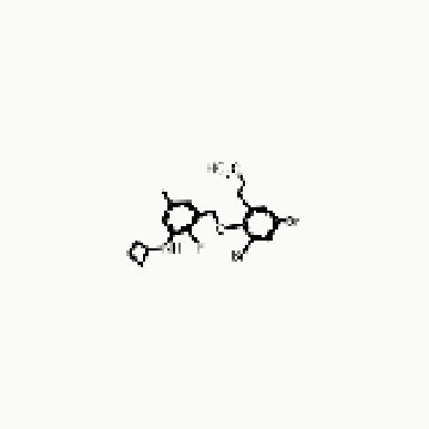 Cc1cc(COc2c(Br)cc(Br)cc2CCC(=O)O)c(F)c(NC2CCC2)c1